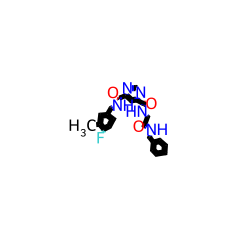 Cc1cc(CNC(=O)c2cc(C(=O)NCC(=O)NCc3ccccc3)ncn2)ccc1F